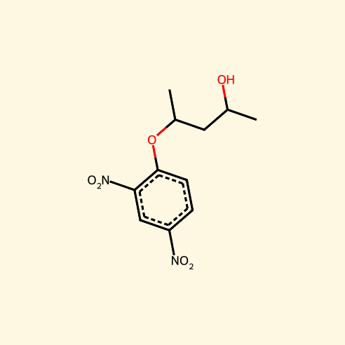 CC(O)CC(C)Oc1ccc([N+](=O)[O-])cc1[N+](=O)[O-]